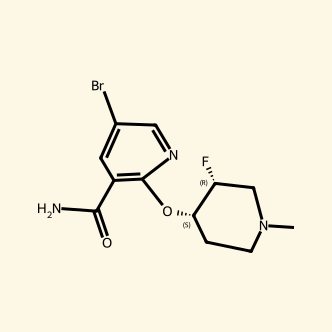 CN1CC[C@H](Oc2ncc(Br)cc2C(N)=O)[C@H](F)C1